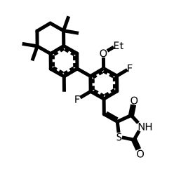 CCOc1c(F)cc(C=C2SC(=O)NC2=O)c(F)c1-c1cc2c(cc1C)C(C)(C)CCC2(C)C